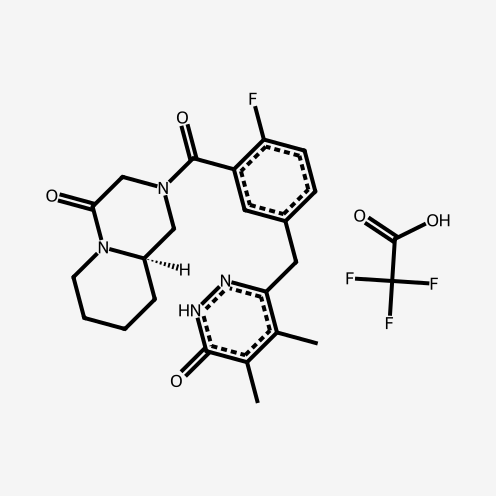 Cc1c(Cc2ccc(F)c(C(=O)N3CC(=O)N4CCCC[C@@H]4C3)c2)n[nH]c(=O)c1C.O=C(O)C(F)(F)F